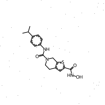 CC(C)c1ccc(NC(=O)N2CCc3cc(C(=O)NO)sc3C2)cc1